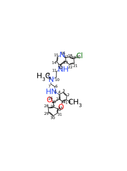 Cc1ccc(NCCN(C)CCNc2ccnc3cc(Cl)ccc23)c2c(=O)c3ccccc3oc12